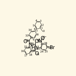 Cc1ccccc1-c1ccc(C(=O)Nc2ccccc2C(=O)Nc2ccc(Br)cc2[N+](=O)[O-])cc1